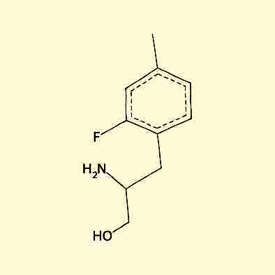 Cc1ccc(CC(N)CO)c(F)c1